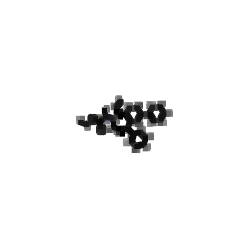 C=CN1/C(=C(\C)C(=O)OCC)CN=C(c2ccccc2)c2cc(-c3ccccc3)ccc21